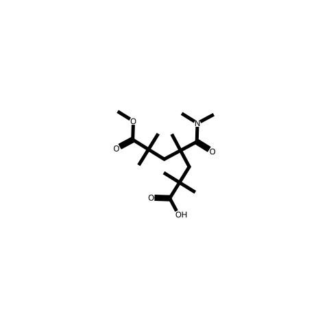 COC(=O)C(C)(C)CC(C)(CC(C)(C)C(=O)O)C(=O)N(C)C